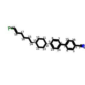 N#Cc1ccc(-c2ccc([C@H]3CC[C@H](CCCCC=CF)CC3)cc2)cc1